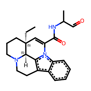 CC[C@@]12C=C(C(=O)NC(C)C=O)n3c4c(c5ccccc53)CCN(CCC1)[C@H]42